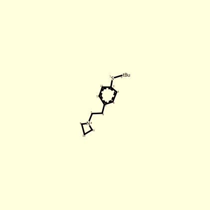 CC(C)(C)Sc1ccc(CCN2CCC2)cc1